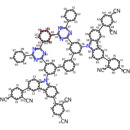 N#Cc1ccc(-c2ccc3c(c2)c2cc(-c4ccc(C#N)cc4C#N)ccc2n3-c2cc(-c3cccc(-c4cc(-c5nc(-c6ccccc6)nc(-c6ccccc6)n5)cc(-n5c6ccc(-c7ccc(C#N)cc7C#N)cc6c6cc(-c7ccc(C#N)cc7C#N)ccc65)c4)c3)cc(-c3nc(-c4ccccc4)nc(-c4ccccc4)n3)c2)c(C#N)c1